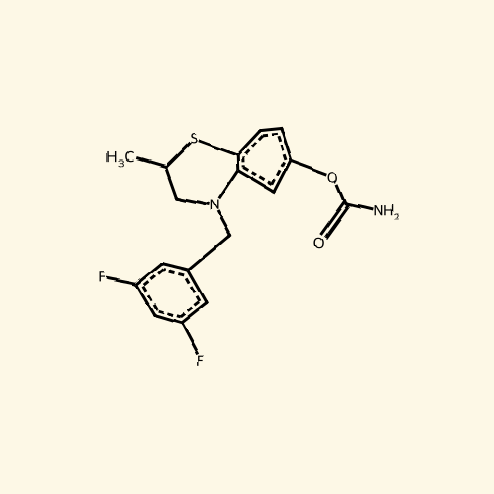 CC1CN(Cc2cc(F)cc(F)c2)c2cc(OC(N)=O)ccc2S1